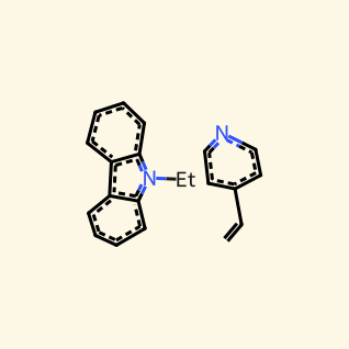 C=Cc1ccncc1.CCn1c2ccccc2c2ccccc21